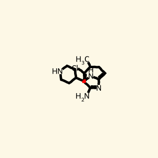 CC1C/C=C(NCC2CCNCC2)/N=C(N)\C=C/1Cl